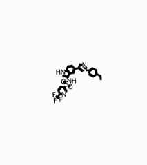 CCc1ccc(-n2cc(-c3ccc4[nH]cc(NS(=O)(=O)c5ccc(C(F)(F)F)nc5)c4c3)cn2)cc1